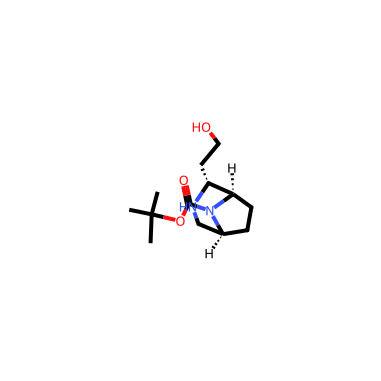 CC(C)(C)OC(=O)N1[C@H]2CC[C@@H]1[C@@H](CCO)NC2